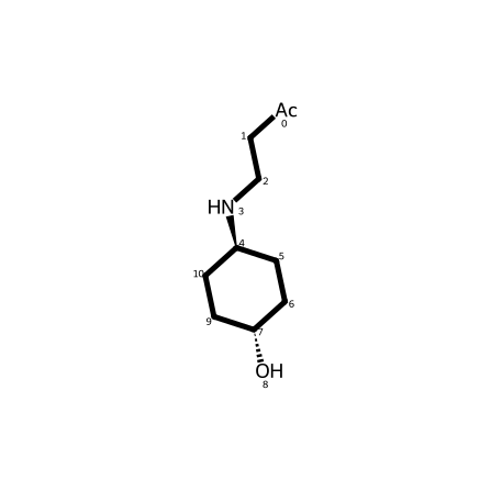 CC(=O)CCN[C@H]1CC[C@H](O)CC1